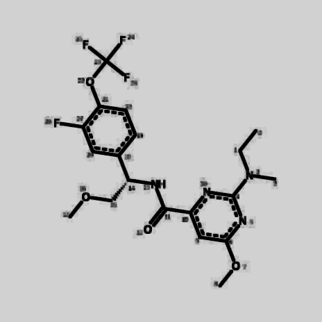 CCN(C)c1nc(OC)cc(C(=O)N[C@H](COC)c2ccc(OC(F)(F)F)c(F)c2)n1